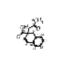 CC(=O)CC1(C(=O)O)C=Cc2ccccc2C1